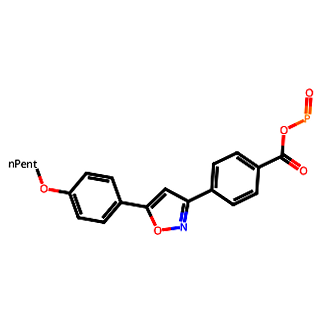 CCCCCOc1ccc(-c2cc(-c3ccc(C(=O)OP=O)cc3)no2)cc1